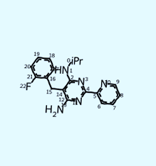 CC(C)Nc1nc(-c2ccccn2)nc(N)c1Cc1ccccc1F